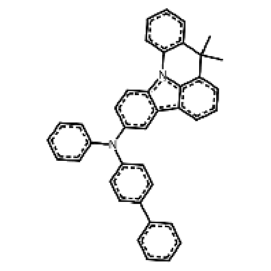 CC1(C)c2ccccc2-n2c3ccc(N(c4ccccc4)c4ccc(-c5ccccc5)cc4)cc3c3cccc1c32